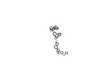 CON=C(c1ccccc1)c1ccc2c(c1)[S+]([O-])CN2CCCOc1cccc(OC(C)(C)C(=O)O)c1